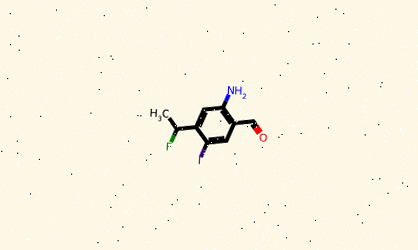 CC(F)c1cc(N)c(C=O)cc1I